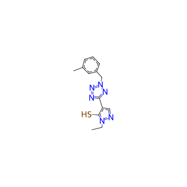 CCn1ncc(-c2nnn(Cc3cccc(C)c3)n2)c1S